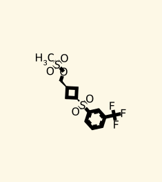 CS(=O)(=O)OC[C@H]1C[C@H](S(=O)(=O)c2cccc(C(F)(F)F)c2)C1